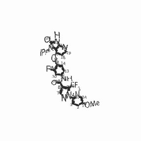 COc1ccc(-n2ncc(C(=O)Nc3ccc(Oc4ccnc5[nH]c(=O)n(C(C)C)c45)c(F)c3)c2C(F)(F)F)nc1